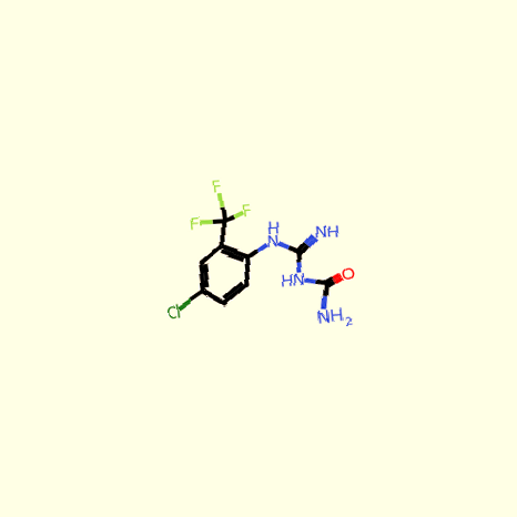 N=C(NC(N)=O)Nc1ccc(Cl)cc1C(F)(F)F